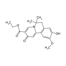 CCOC(=O)c1cn2c(cc1=O)-c1cc(OC)c(O)cc1CC2(C)C